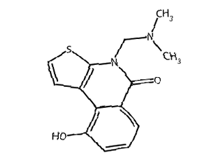 CN(C)Cn1c(=O)c2cccc(O)c2c2ccsc21